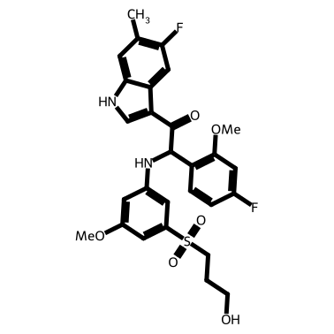 COc1cc(NC(C(=O)c2c[nH]c3cc(C)c(F)cc23)c2ccc(F)cc2OC)cc(S(=O)(=O)CCCO)c1